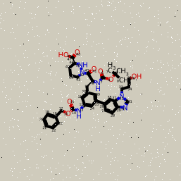 CC(C)(C)OC(=O)N[C@@H](Cc1cc(NC(=O)OCc2ccccc2)cc(-c2ccc3ncn(CCCO)c3c2)c1)C(=O)N1CCC[C@@H](C(=O)O)N1